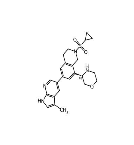 Cc1c[nH]c2ncc(-c3cc4c(c([C@@H]5COCCN5)c3)CN(S(=O)(=O)C3CC3)CC4)cc12